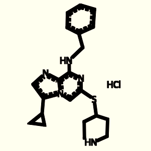 Cl.c1ccc(CNc2nc(SC3CCNCC3)cn3c(C4CC4)cnc23)cc1